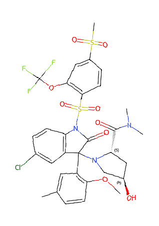 COc1ccc(C)cc1C1(N2C[C@H](O)C[C@H]2C(=O)N(C)C)C(=O)N(S(=O)(=O)c2ccc(S(C)(=O)=O)cc2OC(F)(F)F)c2ccc(Cl)cc21